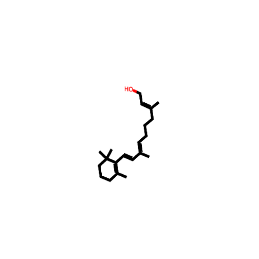 CC(C=CC1=C(C)CCCC1(C)C)=CCCCC(C)=CCO